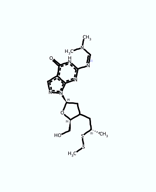 CSS[C@@H](C)CC1C[C@H](n2ncc3c(=O)[nH]c(/N=C\N(C)C)nc32)O[C@@H]1CO